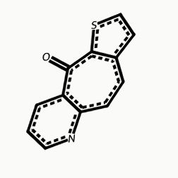 O=c1c2cccnc2ccc2ccsc12